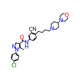 Cc1c(C(=O)Nc2ccc(CCCCN3CCC(N4CCOCC4)CC3)c(C#N)c2)cnn1-c1ccc(Cl)cc1